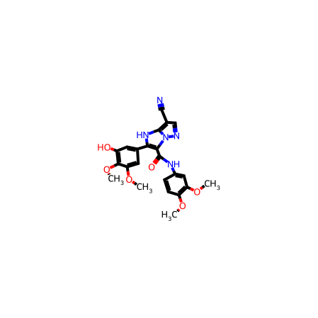 COc1ccc(NC(=O)c2c(-c3cc(O)c(OC)c(OC)c3)[nH]c3c(C#N)cnn23)cc1OC